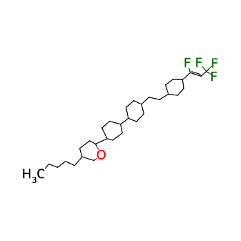 CCCCCC1CCC(C2CCC(C3CCC(CCC4CCC(/C(F)=C/C(F)(F)F)CC4)CC3)CC2)OC1